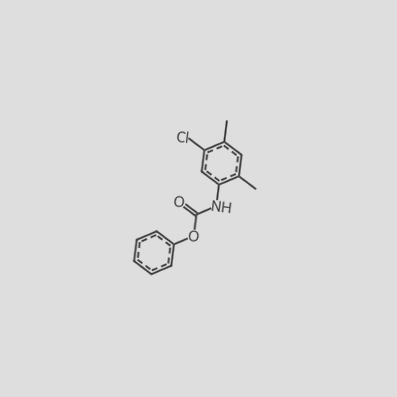 Cc1cc(C)c(NC(=O)Oc2ccccc2)cc1Cl